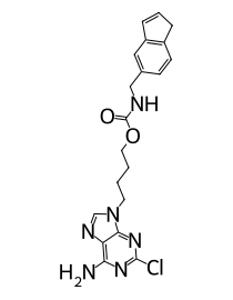 Nc1nc(Cl)nc2c1ncn2CCCCOC(=O)NCc1ccc2c(c1)C=CC2